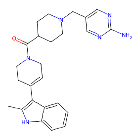 Cc1[nH]c2ccccc2c1C1=CCN(C(=O)C2CCN(Cc3cnc(N)nc3)CC2)CC1